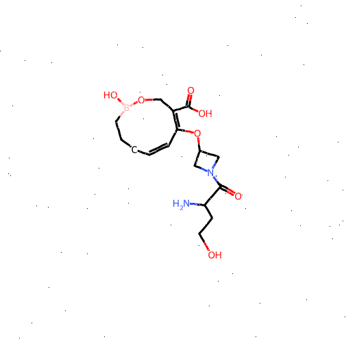 NC(CCO)C(=O)N1CC(OC2=C(\C(=O)O)COB(O)CCC/C=C\2)C1